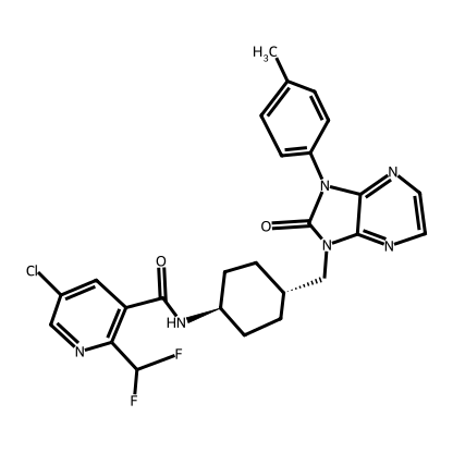 Cc1ccc(-n2c(=O)n(C[C@H]3CC[C@H](NC(=O)c4cc(Cl)cnc4C(F)F)CC3)c3nccnc32)cc1